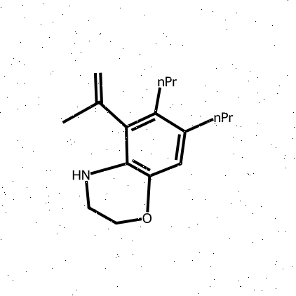 C=C(C)c1c(CCC)c(CCC)cc2c1NCCO2